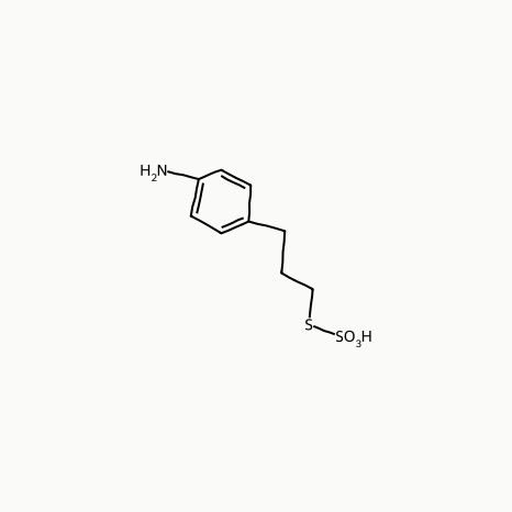 Nc1ccc(CCCSS(=O)(=O)O)cc1